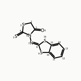 O=C1CSC(=S)N1N=c1sc2ccccc2s1